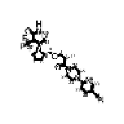 C[C@@H](COC[C@@H]1CCCN1c1cn[nH]c(=O)c1C(F)(F)F)C(=O)N1CCN(c2ccc(C#N)cn2)CC1